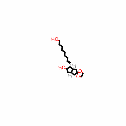 OCCCCCCC/C=C/[C@@H]1[C@H]2CC3(C[C@H]2C[C@H]1O)OCCO3